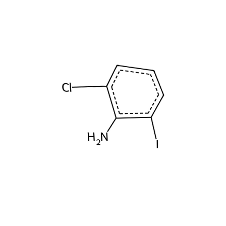 Nc1c(Cl)cccc1I